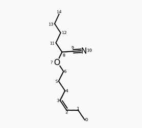 CC/C=C\CCCOC(C#N)CCCC